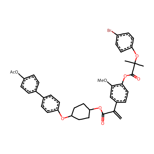 C=C(C(=O)OC1CCC(Oc2ccc(-c3ccc(OC(C)=O)cc3)cc2)CC1)c1ccc(OC(=O)C(C)(C)Oc2ccc(Br)cc2)c(OC)c1